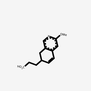 COc1cc2c(cn1)CC(CCC(=O)O)C=C2